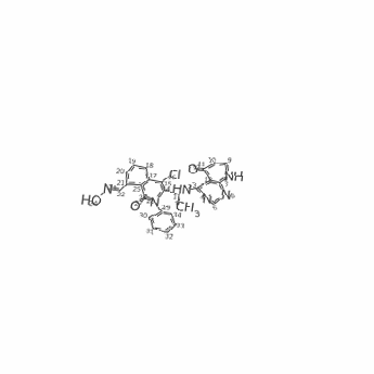 C[C@H](Nc1ncnc2[nH]ccc(=O)c12)c1c(Cl)c2cccc(/C=N/O)c2c(=O)n1-c1ccccc1